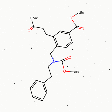 CCCCOC(=O)N(CCc1ccccc1)Cc1ccc(C(=O)OC(C)(C)C)cc1CCC(=O)OC